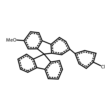 COc1ccc2c(c1)C1(c3ccccc3-c3ccccc31)c1cc(-c3ccc(Cl)cc3)ccc1-2